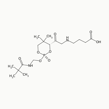 CC(C)(C)C(=O)NCOP1(=O)OCC(C)(C)[C@H](C(=O)CNCCCC(=O)O)O1